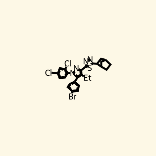 CCc1c(-c2nnc(C3CC4CCC3C4)s2)nn(-c2ccc(Cl)cc2Cl)c1-c1ccc(Br)cc1